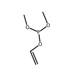 C=COP(OC)OC